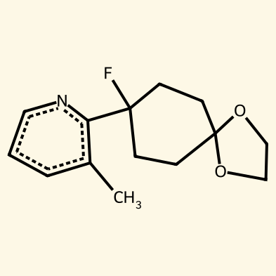 Cc1cccnc1C1(F)CCC2(CC1)OCCO2